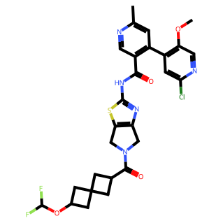 COc1cnc(Cl)cc1-c1cc(C)ncc1C(=O)Nc1nc2c(s1)CN(C(=O)C1CC3(CC(OC(F)F)C3)C1)C2